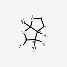 [2H]C1OC2([2H])OCCC2([2H])C1([2H])O